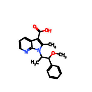 COC(c1ccccc1)C(C)n1c(C)c(C(=O)O)c2cccnc21